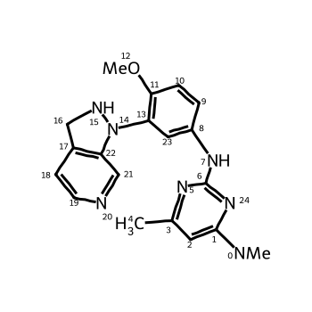 CNc1cc(C)nc(Nc2ccc(OC)c(N3NCc4ccncc43)c2)n1